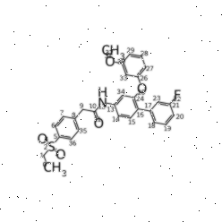 CCS(=O)(=O)c1ccc(CC(=O)Nc2ccc(-c3cccc(F)c3)c(Oc3cccc(OC)c3)c2)cc1